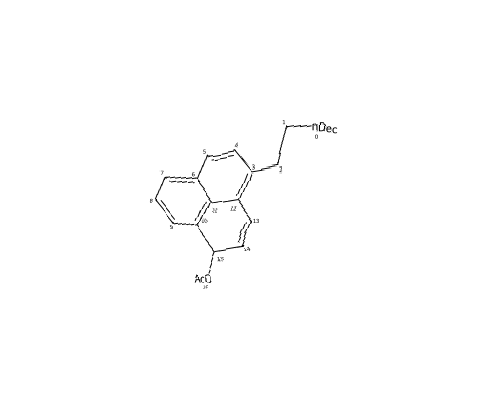 CCCCCCCCCCCCc1ccc2cccc3c2c1C=CC3OC(C)=O